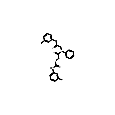 Cc1cccc(NC(=O)CN(C(=O)CNC(=O)Nc2cccc(C)c2)c2ccccc2)c1